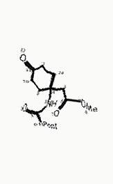 CCCCCC(=O)NC1(CC(=O)OC)CCC(=O)CC1